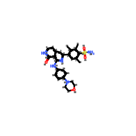 Cc1cc(-c2cc3cc[nH]c(=O)c3c(Nc3ccc(N4CCOCC4)cc3)n2)c(C)c(C)c1S(N)(=O)=O